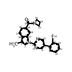 Cc1cn(-c2ncc(-c3ccccc3F)cn2)c2cc(C(=O)N3CCC3)ccc12